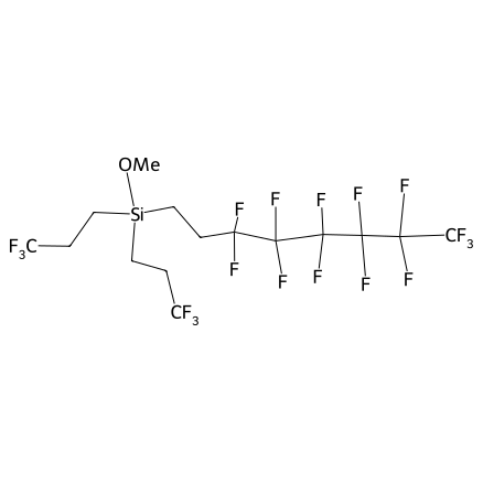 CO[Si](CCC(F)(F)F)(CCC(F)(F)F)CCC(F)(F)C(F)(F)C(F)(F)C(F)(F)C(F)(F)C(F)(F)F